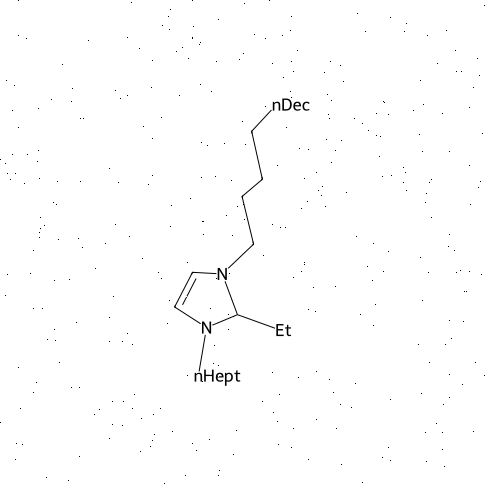 CCCCCCCCCCCCCCN1C=CN(CCCCCCC)C1CC